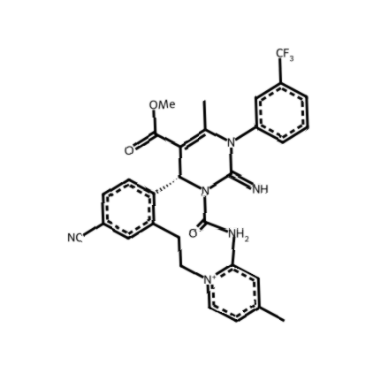 COC(=O)C1=C(C)N(c2cccc(C(F)(F)F)c2)C(=N)N(C(N)=O)[C@@H]1c1ccc(C#N)cc1CC[n+]1ccc(C)cc1C